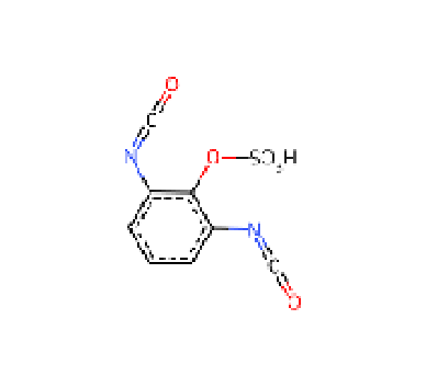 O=C=Nc1cccc(N=C=O)c1OS(=O)(=O)O